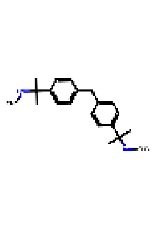 CC(C)(NC=O)c1ccc(Cc2ccc(C(C)(C)NC=O)cc2)cc1